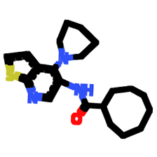 O=C(Nc1cnc2sccc2c1N1CCCCC1)C1CCCCCCC1